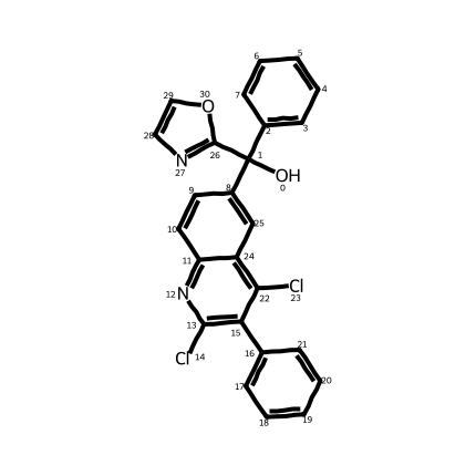 OC(c1ccccc1)(c1ccc2nc(Cl)c(-c3ccccc3)c(Cl)c2c1)c1ncco1